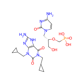 Nc1ccn(C[C@@H](CO)OCP(=O)(O)O)c(=O)n1.Nc1nc2c([nH]1)c(=O)n(CC1CC1)c(=O)n2CC1CC1